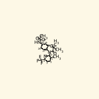 Cc1ccc(C(F)(F)F)nc1N1C(=O)C(C)(C)Oc2cc(NS(C)(=O)=O)ccc21